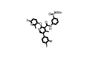 CN[S@+]([O-])c1cccc(NC(=O)c2c(Oc3ccc(F)nc3C)ncc(-c3ccc(F)c(F)c3)c2C)c1